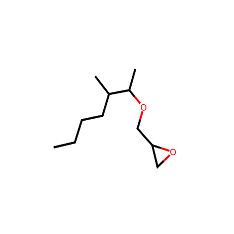 CCCCC(C)C(C)OCC1CO1